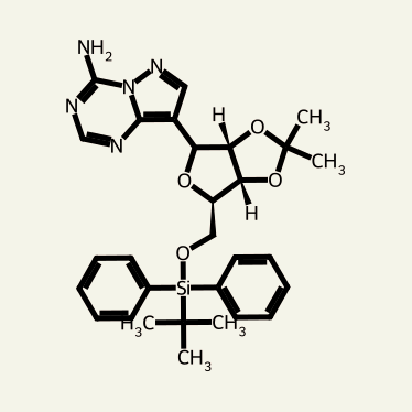 CC1(C)O[C@@H]2[C@@H](CO[Si](c3ccccc3)(c3ccccc3)C(C)(C)C)OC(c3cnn4c(N)ncnc34)[C@@H]2O1